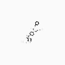 COCCN(C(=O)OCc1ccccc1)[C@H]1CC[C@H](c2ncc3c(C)nccn32)CC1